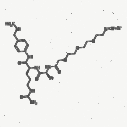 CC(C)[C@H](NC(=O)COCCOCCOCCN=[N+]=[N-])C(=O)N[C@@H](CCCNC(N)=O)C(=O)Nc1ccc(CNC(=O)O)cc1